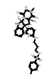 Cc1ccc(S(=O)(=O)OCCCOc2ccc([C@]34C[C@H]5C(=O)N(C)[C@@H](C)C(=O)N5[C@H]3Nc3ccccc34)cc2)cc1